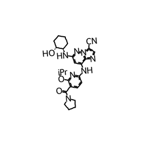 CC(C)Oc1nc(Nc2cc(N[C@@H]3CCCC[C@H]3O)nn3c(C#N)cnc23)ccc1C(=O)N1CCCC1